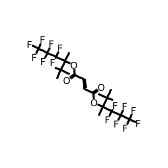 CC(C)(C)C(C)(OC(=O)/C=C/C(=O)OC(C)(C(C)(C)C)C(F)(F)C(F)(F)C(F)(F)F)C(F)(F)C(F)(F)C(F)(F)F